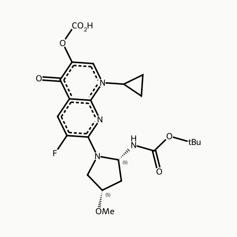 CO[C@H]1C[C@@H](NC(=O)OC(C)(C)C)N(c2nc3c(cc2F)c(=O)c(OC(=O)O)cn3C2CC2)C1